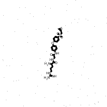 N=C(N)NCCCC(N)C(=O)NCC(=O)Nc1ccc(Oc2ccc(S(=O)(=O)CC3CS3)cc2)cc1